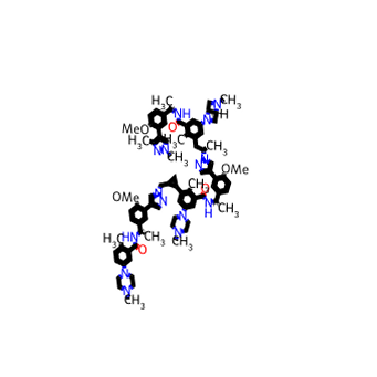 COc1ccc([C@@H](C)NC(=O)c2cc(N3CCN(C)CC3)ccc2C)cc1-c1cnn(CC2CC2c2cc(N3CCN(C)CC3)cc(C(=O)N[C@H](C)c3ccc(OC)c(-c4cnn(C(C)Cc5cc(N6C[C@H]7C6CN7C)cc(C(=O)N[C@H](C)c6ccc(OC)c(-c7cn(C)nc7C)c6)c5C)c4)c3)c2C)c1